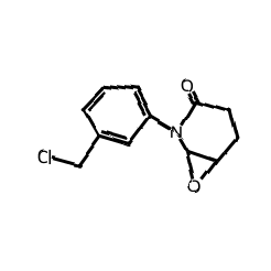 O=C1CCC2OC2N1c1cccc(CCl)c1